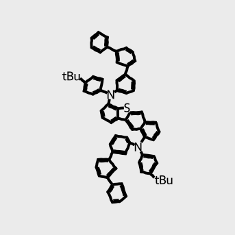 CC(C)(C)c1ccc(N(c2cccc(-c3cccc(-c4ccccc4)c3)c2)c2cccc3cc4sc5c(N(c6ccc(C(C)(C)C)cc6)c6cccc(-c7cccc(-c8ccccc8)c7)c6)cccc5c4cc23)cc1